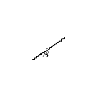 CCCCCCCCCCCCCCOC(CCCCCCCCCCC)OC(N)CC